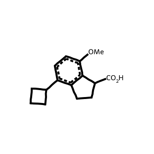 COc1ccc(C2CCC2)c2c1C(C(=O)O)CC2